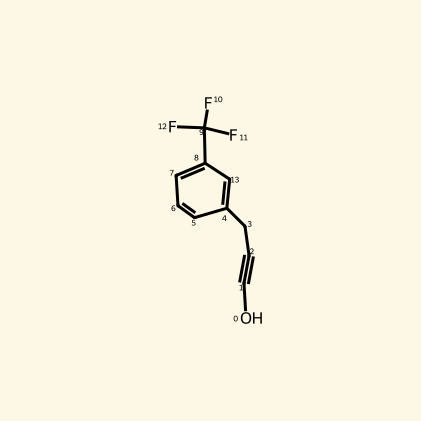 OC#CCc1cccc(C(F)(F)F)c1